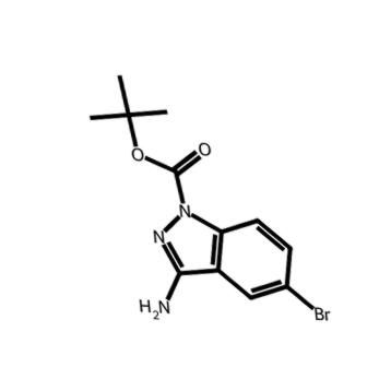 CC(C)(C)OC(=O)n1nc(N)c2cc(Br)ccc21